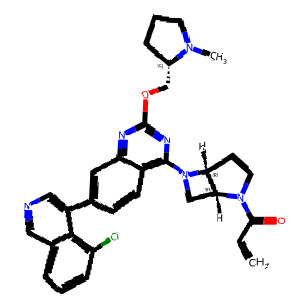 C=CC(=O)N1CC[C@@H]2[C@H]1CN2c1nc(OC[C@@H]2CCCN2C)nc2cc(-c3cncc4cccc(Cl)c34)ccc12